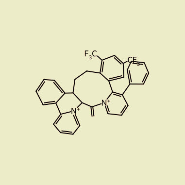 C=C1C2C(CCc3c(cc(C(F)(F)F)cc3C(F)(F)F)-c3c(-c4ccccc4)ccc[n+]31)c1ccccc1-c1cccc[n+]12